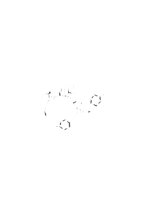 CC(=O)[C@@H]1C/C=C\COc2ccc(cc2)C[C@H](NS(=O)(=O)c2ccc(F)cc2)C(=O)N[C@@H](C(C)C)C(=O)N1